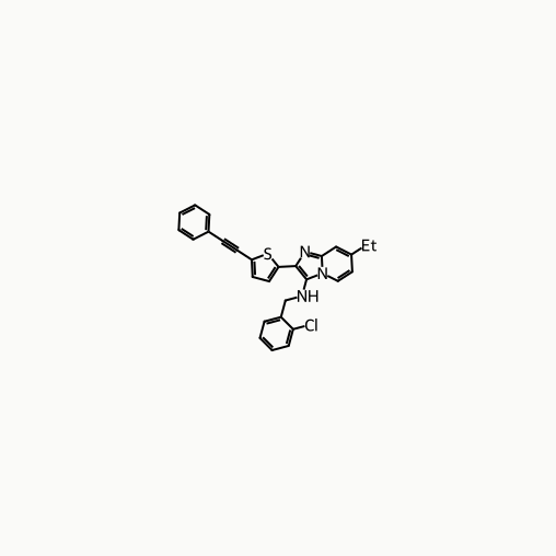 CCc1ccn2c(NCc3ccccc3Cl)c(-c3ccc(C#Cc4ccccc4)s3)nc2c1